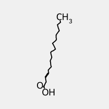 CCCCCCCCCCCCC/C=C/CC(=O)O